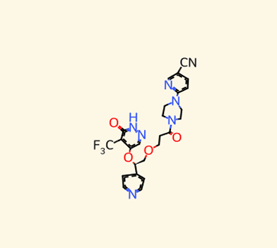 N#Cc1ccc(N2CCN(C(=O)CCOC[C@H](Oc3cn[nH]c(=O)c3C(F)(F)F)c3ccncc3)CC2)nc1